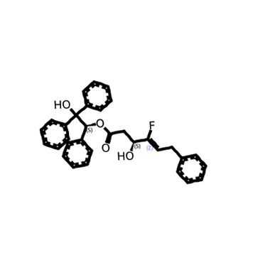 O=C(C[C@H](O)/C(F)=C/Cc1ccccc1)O[C@@H](c1ccccc1)C(O)(c1ccccc1)c1ccccc1